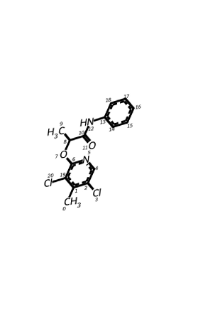 Cc1c(Cl)cnc(OC(C)C(=O)Nc2ccccc2)c1Cl